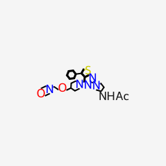 CC(=O)NC1CCN(c2nc(N3CCC(COCCN4CCOCC4)CC3)c3c(-c4ccccc4)csc3n2)C1